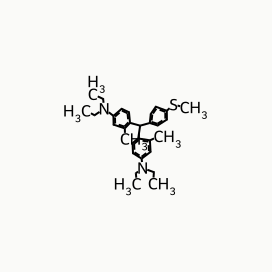 CCN(CC)c1ccc(C(c2ccc(SC)cc2)c2ccc(N(CC)CC)cc2C)c(C)c1